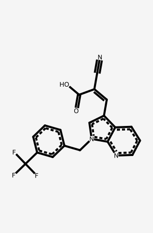 N#CC(=Cc1cn(Cc2cccc(C(F)(F)F)c2)c2ncccc12)C(=O)O